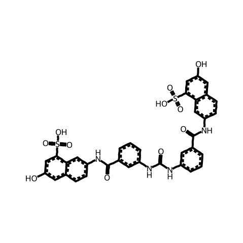 O=C(Nc1cccc(C(=O)Nc2ccc3cc(O)cc(S(=O)(=O)O)c3c2)c1)Nc1cccc(C(=O)Nc2ccc3cc(O)cc(S(=O)(=O)O)c3c2)c1